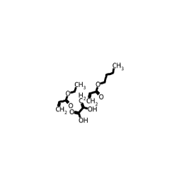 C=C(O)C(=O)O.C=CC(=O)OCC.C=CC(=O)OCCCC